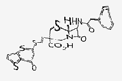 O=C(Cc1ccccc1)NC1C(=O)N2CC(C=CSc3cc(=O)c4sccc4s3)(C(=O)O)CS[C@H]12